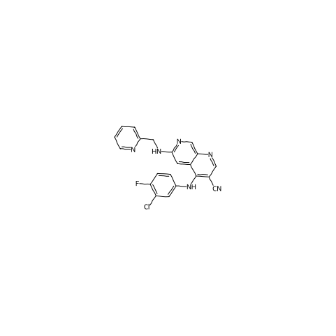 N#Cc1cnc2cnc(NCc3ccccn3)cc2c1Nc1ccc(F)c(Cl)c1